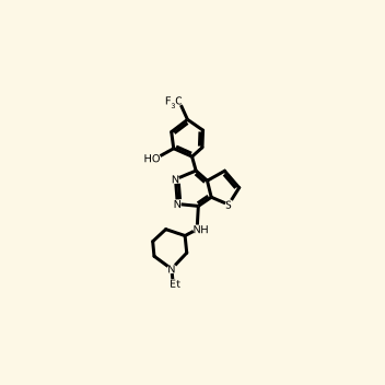 CCN1CCCC(Nc2nnc(-c3ccc(C(F)(F)F)cc3O)c3ccsc23)C1